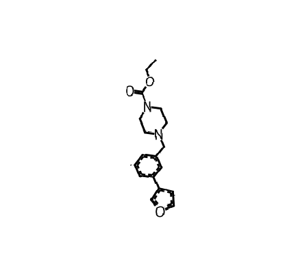 CCOC(=O)N1CCN(Cc2c[c]cc(-c3ccoc3)c2)CC1